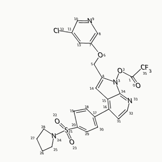 O=C(On1c(COc2cncc(Cl)c2)cc2c(-c3ccc(S(=O)(=O)N4CCCC4)cc3)ccnc21)C(F)(F)F